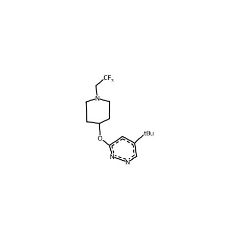 CC(C)(C)c1cnnc(OC2CCN(CC(F)(F)F)CC2)c1